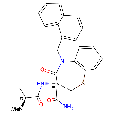 CN[C@@H](C)C(=O)N[C@@]1(C(N)=O)CSc2[c]cccc2N(Cc2cccc3ccccc23)C1=O